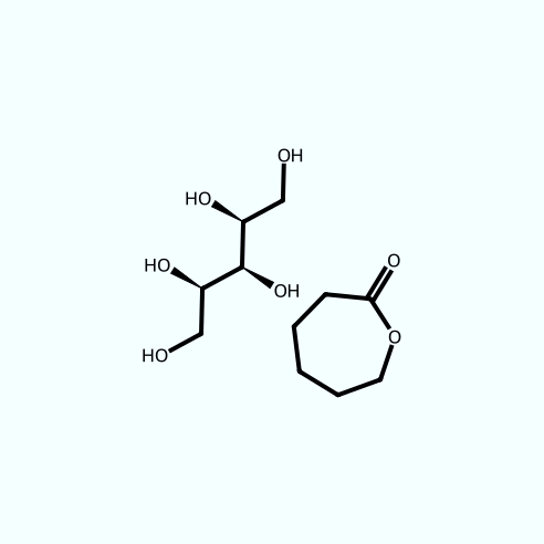 O=C1CCCCCO1.OC[C@@H](O)[C@H](O)[C@@H](O)CO